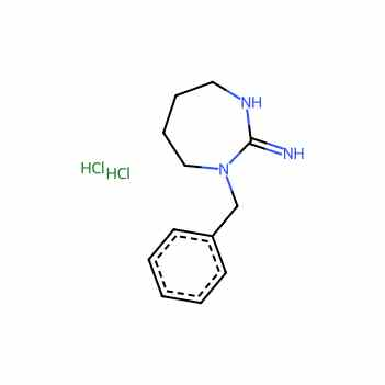 Cl.Cl.N=C1NCCCCN1Cc1ccccc1